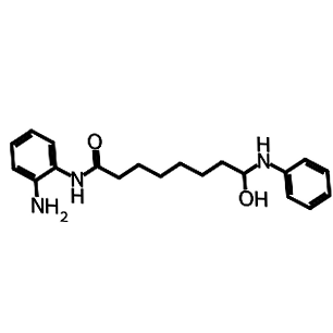 Nc1ccccc1NC(=O)CCCCCCC(O)Nc1ccccc1